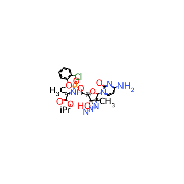 CC(C)OC(=O)[C@H](C)NP(=O)(OC[C@H]1OC(n2ccc(N)nc2=O)[C@](C)(N=[N+]=[N-])[C@@H]1O)Oc1ccccc1Cl